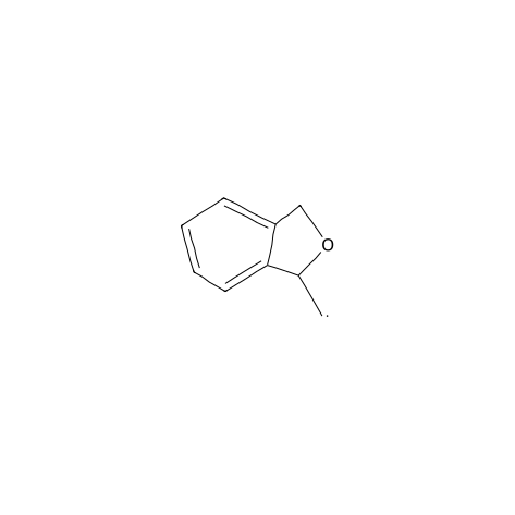 [CH2]C1OCc2ccccc21